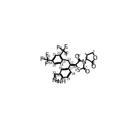 O=C1OCCC1N1C(=O)S/C(=C(/Cc2ccc(C(F)(F)F)cc2C(F)(F)F)c2ccc3[nH]ncc3c2)C1=O